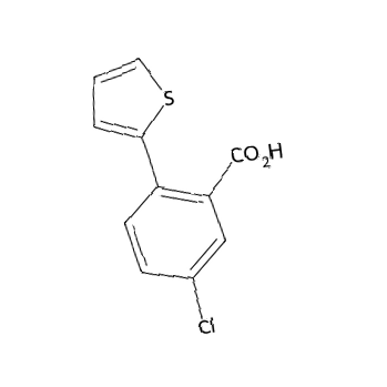 O=C(O)c1cc(Cl)ccc1-c1cccs1